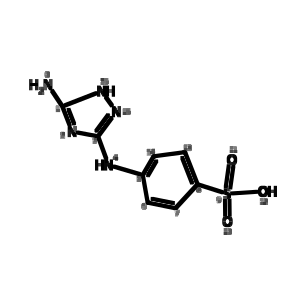 Nc1nc(Nc2ccc(S(=O)(=O)O)cc2)n[nH]1